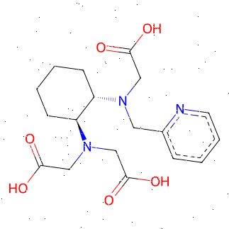 O=C(O)CN(CC(=O)O)[C@H]1CCCC[C@@H]1N(CC(=O)O)Cc1ccccn1